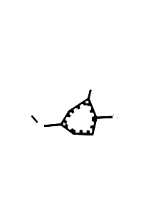 Nc1ccc(SC(F)(F)F)cc1Cl